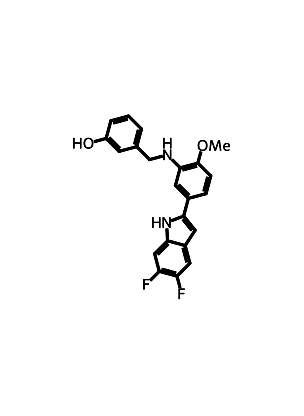 COc1ccc(-c2cc3cc(F)c(F)cc3[nH]2)cc1NCc1cccc(O)c1